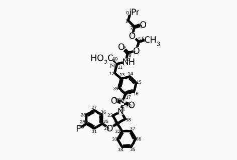 CC(C)CC(=O)OC(C)OC(=O)N[C@@H](Cc1cccc(S(=O)(=O)N2CC(Oc3cccc(F)c3)(c3ccccc3)C2)c1)C(=O)O